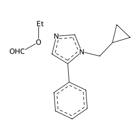 CCOC=O.c1ccc(-c2cncn2CC2CC2)cc1